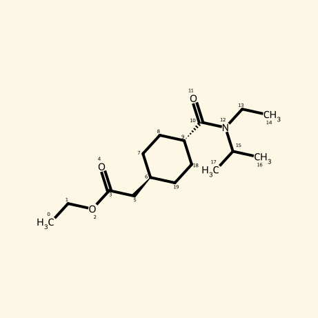 CCOC(=O)C[C@H]1CC[C@H](C(=O)N(CC)C(C)C)CC1